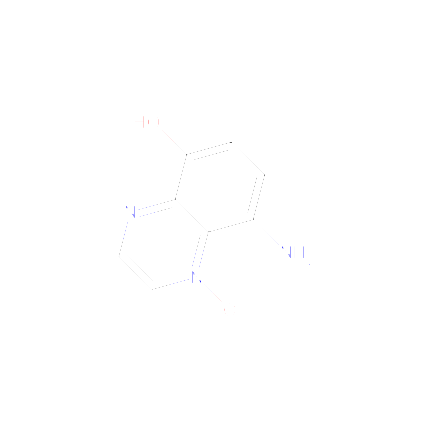 Nc1ccc(O)c2ncc[n+]([O-])c12